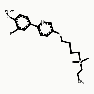 CCCCCCCCOc1ccc(-c2ccc(OCCCC[Si](C)(C)CCC(F)(F)F)cn2)cc1F